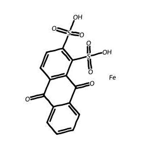 O=C1c2ccccc2C(=O)c2c1ccc(S(=O)(=O)O)c2S(=O)(=O)O.[Fe]